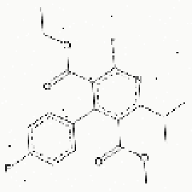 CCOC(=O)c1c(F)nc(C(C)C)c(C(=O)OC)c1-c1ccc(F)cc1